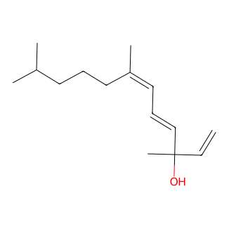 C=CC(C)(O)C=CC=C(C)CCCC(C)C